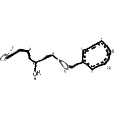 OC(CCl)COc1cc[c]cc1